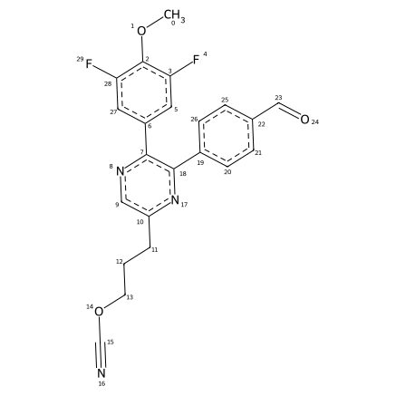 COc1c(F)cc(-c2ncc(CCCOC#N)nc2-c2ccc(C=O)cc2)cc1F